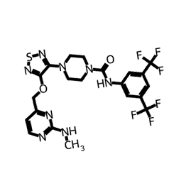 CNc1nccc(COc2nsnc2N2CCN(C(=O)Nc3cc(C(F)(F)F)cc(C(F)(F)F)c3)CC2)n1